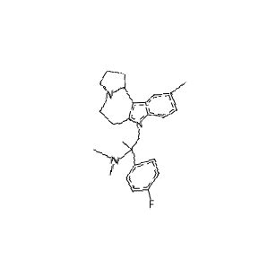 Cc1ccc2c(c1)c1c(n2CC(C)(c2ccc(F)cc2)N(C)C)CCN2CCCC12